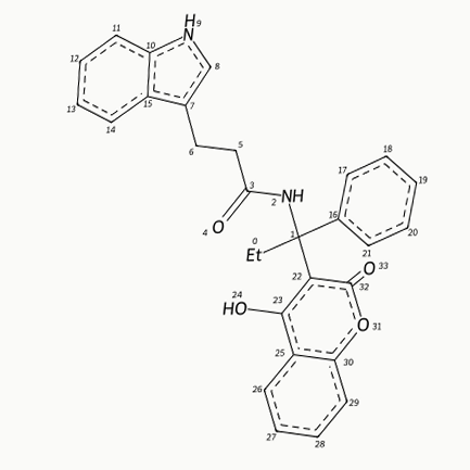 CCC(NC(=O)CCc1c[nH]c2ccccc12)(c1ccccc1)c1c(O)c2ccccc2oc1=O